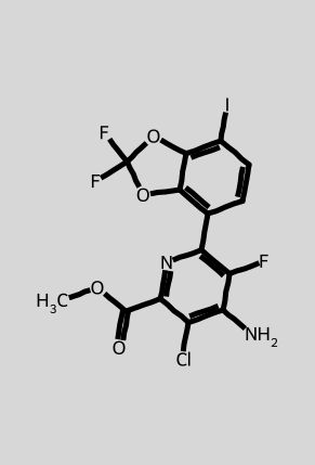 COC(=O)c1nc(-c2ccc(I)c3c2OC(F)(F)O3)c(F)c(N)c1Cl